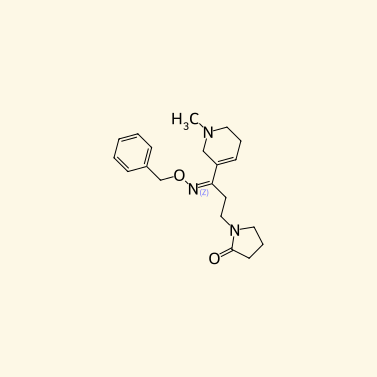 CN1CCC=C(/C(CCN2CCCC2=O)=N\OCc2ccccc2)C1